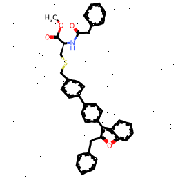 COC(=O)[C@H](CSCc1ccc(-c2ccc(-c3c(Cc4ccccc4)oc4ccccc34)cc2)cc1)NC(=O)Cc1ccccc1